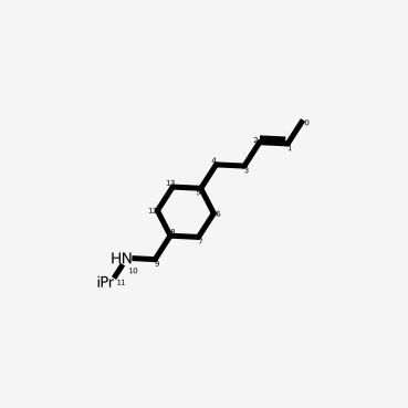 CC=CCCC1CCC(CNC(C)C)CC1